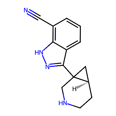 N#Cc1cccc2c(C34CNCC[C@@H]3C4)n[nH]c12